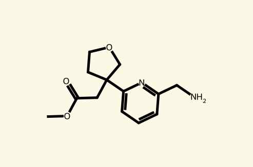 COC(=O)CC1(c2cccc(CN)n2)CCOC1